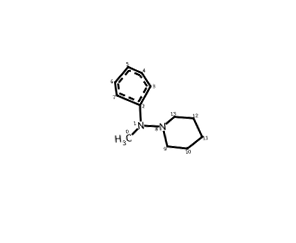 CN(c1ccccc1)N1CCCCC1